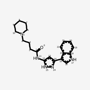 O=C(CCCN1CCCCC1)Nc1cc(-c2c[nH]c3ccccc23)n[nH]1